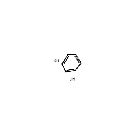 [KH].[LiH].[c]1ccccc1